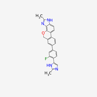 Cc1ncc(-c2ccc(-c3ccc4c(c3)COc3c-4ccc4[nH]c(C)nc34)cc2F)[nH]1